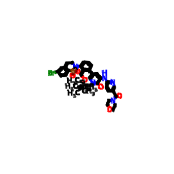 Cn1cc(-c2cccc(N3CCc4cc(Br)ccc4S3(=O)=O)c2CO[Si](C)(C)C(C)(C)C)cc(Nc2ccc(C(=O)N3CCOCC3)cn2)c1=O